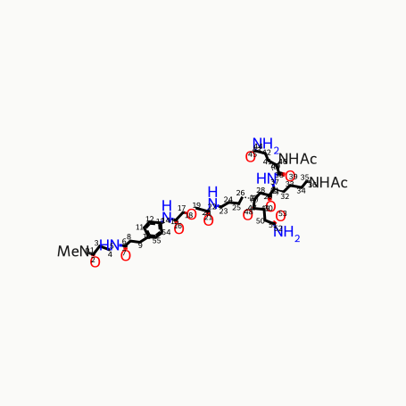 CNC(=O)CCNC(=O)CCc1ccc(NC(=O)COCC(=O)NCCCC[C@H](CC(=O)[C@H](CCCCNC(C)=O)NC(=O)[C@H](CCC(N)=O)NC(C)=O)C(=O)CCC(N)=O)cc1